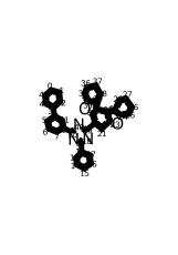 c1ccc(-c2cccc(-c3nc(-c4ccccc4)nc(-c4cc5oc6ccccc6c5c5c4oc4ccccc45)n3)c2)cc1